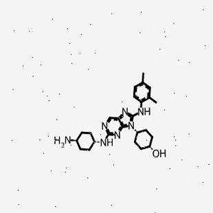 Cc1ccc(Nc2nc3cnc(N[C@H]4CC[C@H](N)CC4)nc3n2[C@H]2CC[C@@H](O)CC2)c(C)c1